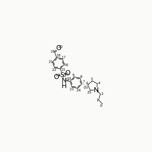 CCCN1CC[C@@H](c2ccc(NS(=O)(=O)c3ccc(C=O)cc3)cc2)C1